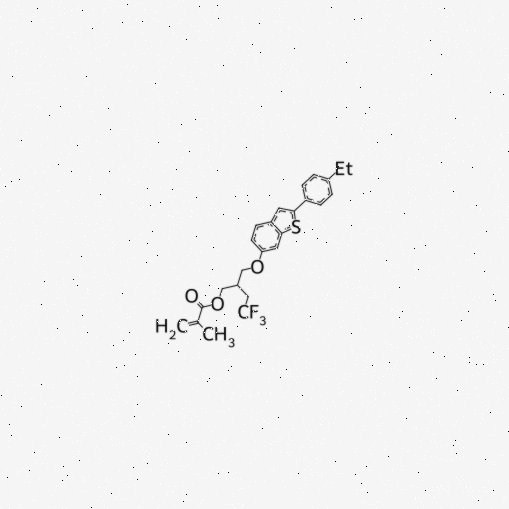 C=C(C)C(=O)OCC(COc1ccc2cc(-c3ccc(CC)cc3)sc2c1)CC(F)(F)F